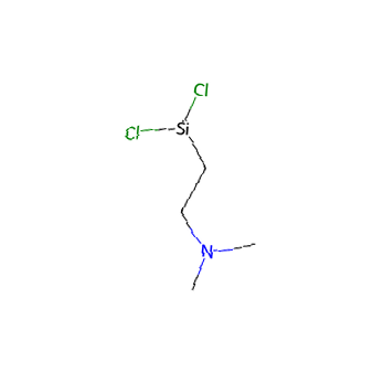 CN(C)CC[Si](Cl)Cl